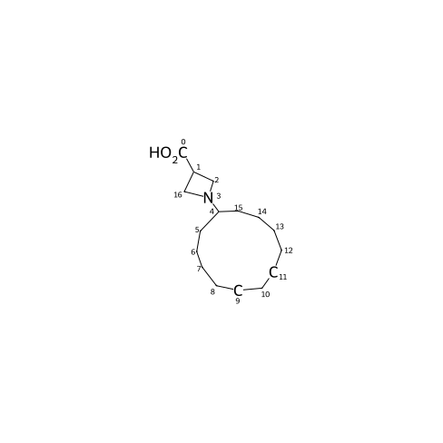 O=C(O)C1CN(C2CCCCCCCCCCC2)C1